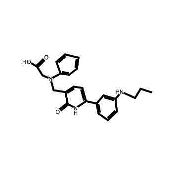 CCCNc1cccc(-c2ccc(CN(CC(=O)O)c3ccccc3)c(=O)[nH]2)c1